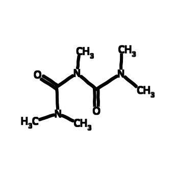 CN(C)C(=O)N(C)C(=O)N(C)C